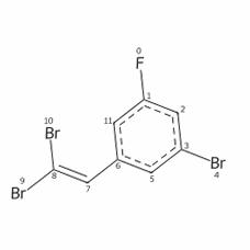 Fc1cc(Br)cc(C=C(Br)Br)c1